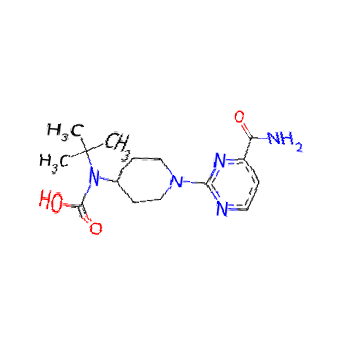 CC(C)(C)N(C(=O)O)C1CCN(c2nccc(C(N)=O)n2)CC1